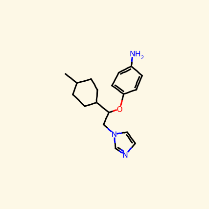 CC1CCC(C(Cn2ccnc2)Oc2ccc(N)cc2)CC1